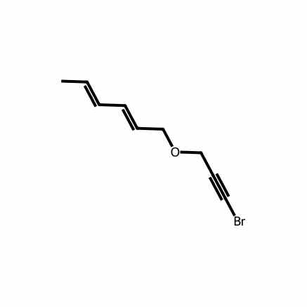 CC=CC=CCOCC#CBr